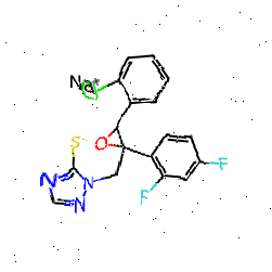 Fc1ccc(C2(Cn3ncnc3[S-])OC2c2ccccc2Cl)c(F)c1.[Na+]